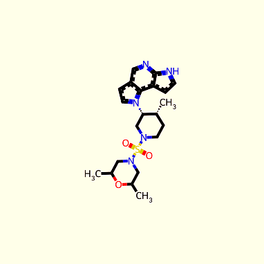 CC1CN(S(=O)(=O)N2CC[C@@H](C)[C@@H](n3ccc4cnc5[nH]ccc5c43)C2)CC(C)O1